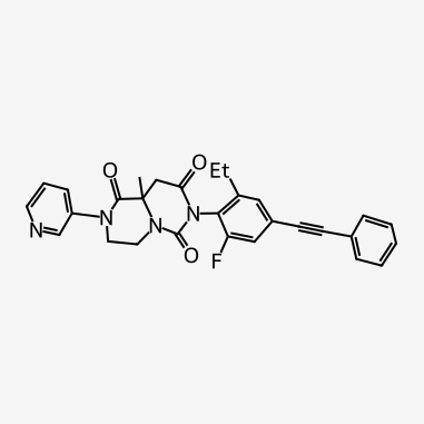 CCc1cc(C#Cc2ccccc2)cc(F)c1N1C(=O)CC2(C)C(=O)N(c3cccnc3)CCN2C1=O